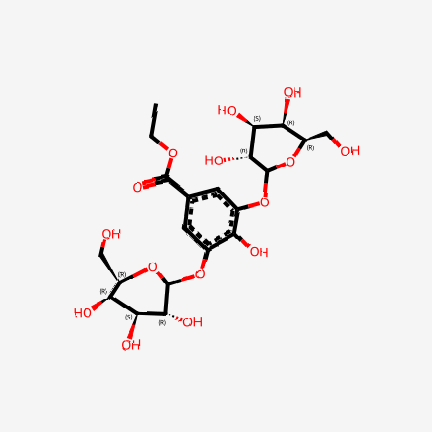 CCOC(=O)c1cc(OC2O[C@H](CO)[C@H](O)[C@H](O)[C@H]2O)c(O)c(OC2O[C@H](CO)[C@H](O)[C@H](O)[C@H]2O)c1